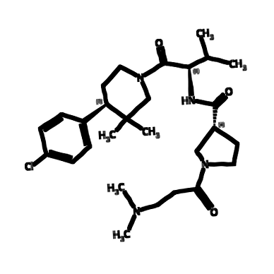 CC(C)[C@@H](NC(=O)[C@@H]1CCN(C(=O)CCN(C)C)C1)C(=O)N1CC[C@H](c2ccc(Cl)cc2)C(C)(C)C1